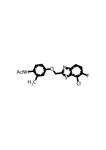 CC(=O)Nc1ccc(OCc2nc3ccc(F)c(Cl)c3s2)cc1C